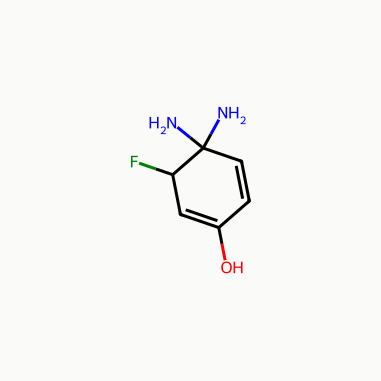 NC1(N)C=CC(O)=CC1F